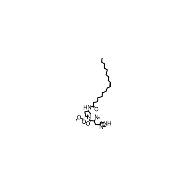 CCCCCCCC/C=C\CCCCCCCC(=O)N[C@H]1C[C@@H](C(=O)OC)N(C(=O)C(Cc2c[nH]cn2)N(C)C)C1